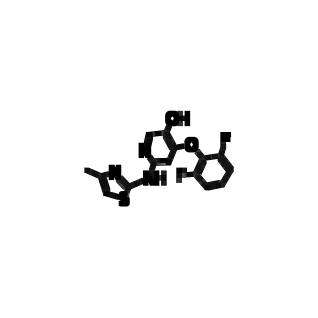 Cc1csc(Nc2cc(Oc3c(F)cccc3F)c(O)cn2)n1